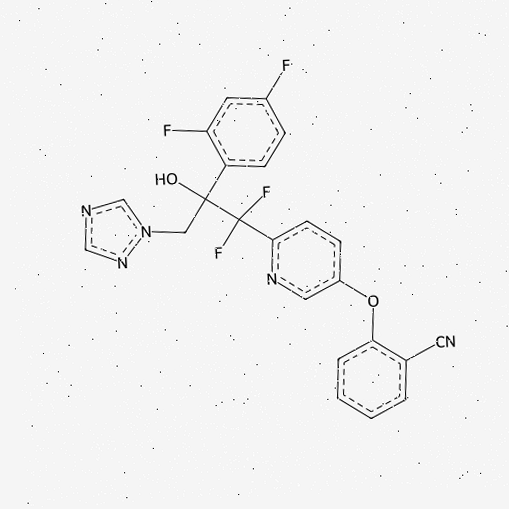 N#Cc1ccccc1Oc1ccc(C(F)(F)C(O)(Cn2cncn2)c2ccc(F)cc2F)nc1